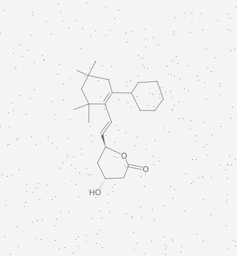 CC1(C)CC(C2CCCCC2)=C(/C=C/[C@@H]2C[C@@H](O)CC(=O)O2)C(C)(C)C1